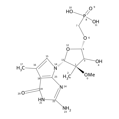 CO[C@]1(C)C(O)[C@@H](OCP(=O)(O)O)O[C@H]1n1cc(C)c2c(=O)[nH]c(N)nc21